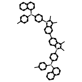 Cc1ccc(N(c2ccc(-n3c(C)c(C)c4cc(-c5ccc6c(c5)c(C)c(C)n6-c5ccc(N(c6ccc(C)cc6)c6cccc7ccccc67)cc5)ccc43)cc2)c2cccc3ccccc23)cc1